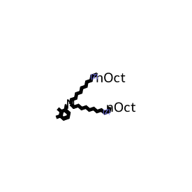 CCCCCCCC/C=C\CCCCCCCCN(CCCCCCCC/C=C\CCCCCCCC)Cc1cccc(C)c1C